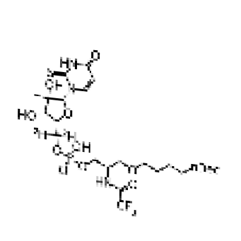 [2H]C([2H])(OP(=O)(O)OC[C@@H](COCCCCCCCCCCCCCC)NC(=O)C(F)(F)F)[C@H]1O[C@@H](n2ccc(=O)[nH]c2=S)C(C)(O)[C@H]1O